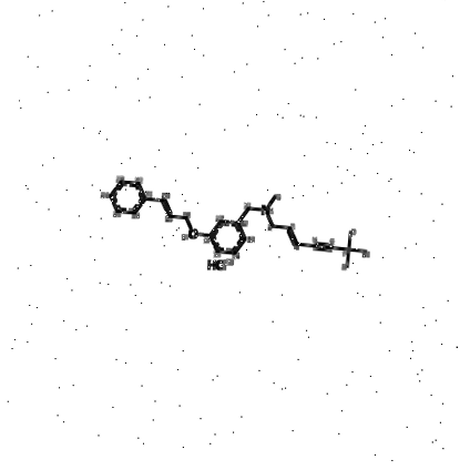 CN(CC=CC#CC(C)(C)C)Cc1cccc(OCC=Cc2ccccc2)c1.Cl